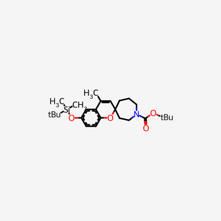 CC1=CC2(CCCN(C(=O)OC(C)(C)C)CC2)Oc2ccc(O[Si](C)(C)C(C)(C)C)cc21